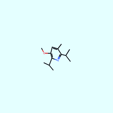 COc1cc(C)c(C(C)C)nc1C(C)C